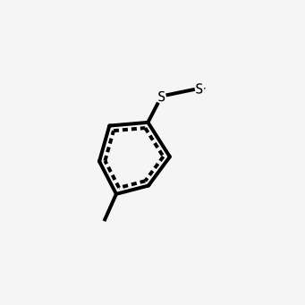 Cc1ccc(S[S])cc1